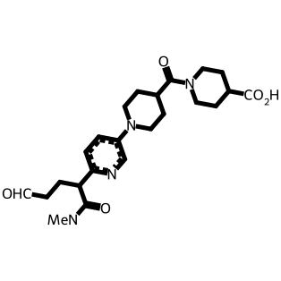 CNC(=O)C(CCC=O)c1ccc(N2CCC(C(=O)N3CCC(C(=O)O)CC3)CC2)cn1